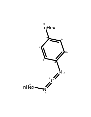 CCCCCCN=C=Nc1ccc(CCCCCC)cc1